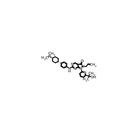 C=CCn1c(=O)c2cnc(Nc3ccc([C@H]4CC[C@H](N(C)C)CC4)cc3)nc2n1-c1cccc(C(C)(C)O)n1